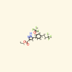 CCOC(=O)c1cc(-c2ccc(CCC(F)(F)F)cc2OC(F)(F)F)[nH]n1